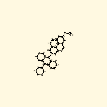 COc1cc2ccc3cc(-c4c5ccccc5c(-c5ccccc5)c5ccccc45)cc4ccc(c1)c2c34